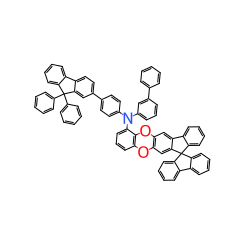 c1ccc(-c2cccc(N(c3ccc(-c4ccc5c(c4)C(c4ccccc4)(c4ccccc4)c4ccccc4-5)cc3)c3cccc4c3Oc3cc5c(cc3O4)C3(c4ccccc4-c4ccccc43)c3ccccc3-5)c2)cc1